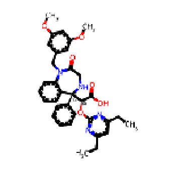 CCc1cc(CC)nc(O[C@H](C(=O)O)[C@@]2(c3ccccc3)NCC(=O)N(Cc3cc(OC)cc(OC)c3)c3ccccc32)n1